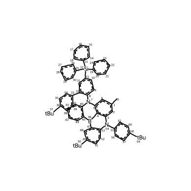 Cc1cc2c3c(c1)N(c1ccc([Si](c4ccccc4)(c4ccccc4)c4ccccc4)cc1-c1ccc(C(C)(C)C)cc1)c1ccccc1B3c1cc(C(C)(C)C)ccc1N2c1ccc(C(C)(C)C)cc1